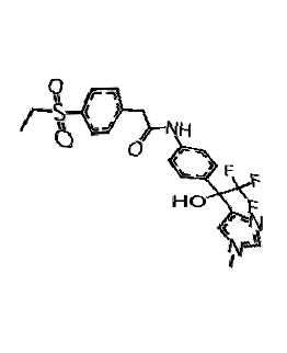 CCS(=O)(=O)c1ccc(CC(=O)Nc2ccc(C(O)(c3cn(C)cn3)C(F)(F)F)cc2)cc1